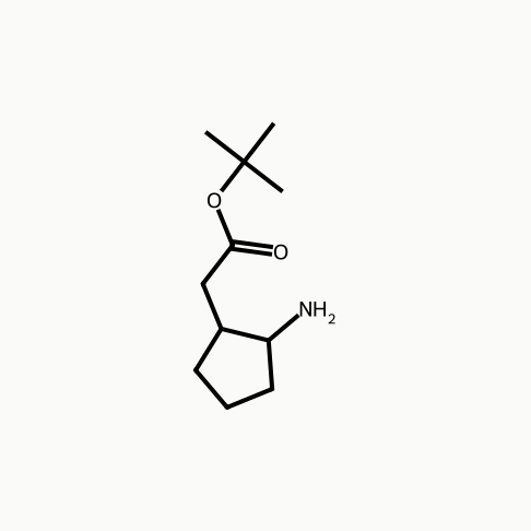 CC(C)(C)OC(=O)CC1CCCC1N